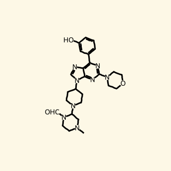 CN1CCN(C=O)C(N2CCC(n3cnc4c(-c5cccc(O)c5)nc(N5CCOCC5)nc43)CC2)C1